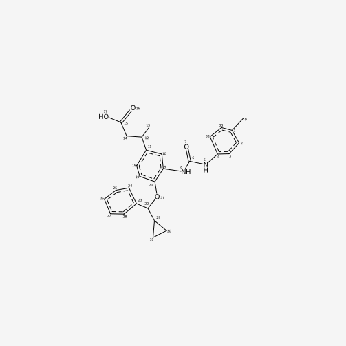 Cc1ccc(NC(=O)Nc2cc(C(C)CC(=O)O)ccc2OC(c2ccccc2)C2CC2)cc1